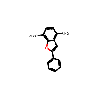 COc1ccc(C=O)c2cc(-c3ccccc3)oc12